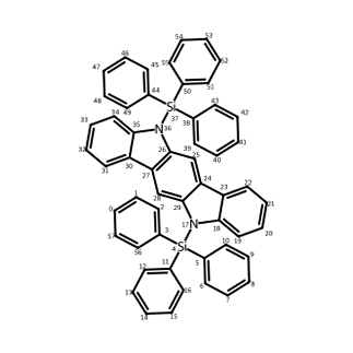 c1ccc([Si](c2ccccc2)(c2ccccc2)n2c3ccccc3c3cc4c(cc32)c2ccccc2n4[Si](c2ccccc2)(c2ccccc2)c2ccccc2)cc1